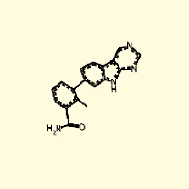 Cc1c(C(N)=O)cccc1-c1ccc2c(c1)[nH]c1ncncc12